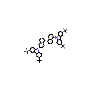 CC(C)(C)c1ccc2c(c1)c1cc(C(C)(C)C)ccc1n2-c1ccc2c(-c3cccc4c(-n5c6ccc(C(C)(C)C)cc6c6cc(C(C)(C)C)ccc65)cccc34)cccc2c1